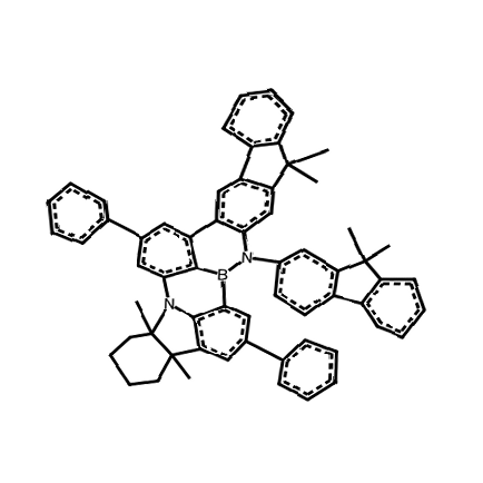 CC1(C)c2ccccc2-c2ccc(N3B4c5cc(-c6ccccc6)cc6c5N(c5cc(-c7ccccc7)cc(c54)-c4cc5c(cc43)C(C)(C)c3ccccc3-5)C3(C)CCCCC63C)cc21